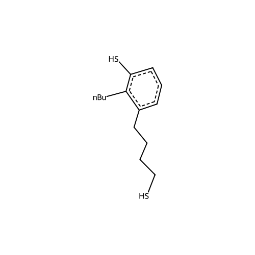 CCCCc1c(S)cccc1CCCCS